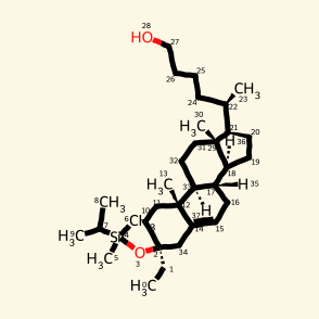 CC[C@]1(O[Si](C)(C)C(C)C)CC[C@@]2(C)C(=CC[C@H]3[C@@H]4CC[C@H]([C@H](C)CCCCO)[C@@]4(C)CC[C@@H]32)C1